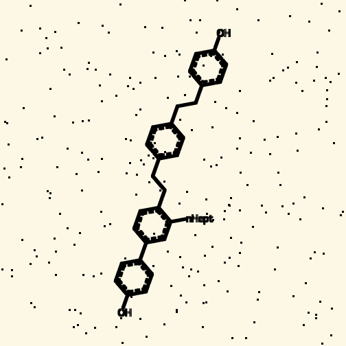 CCCCCCCc1cc(-c2ccc(O)cc2)ccc1CCc1ccc(CCc2ccc(O)cc2)cc1